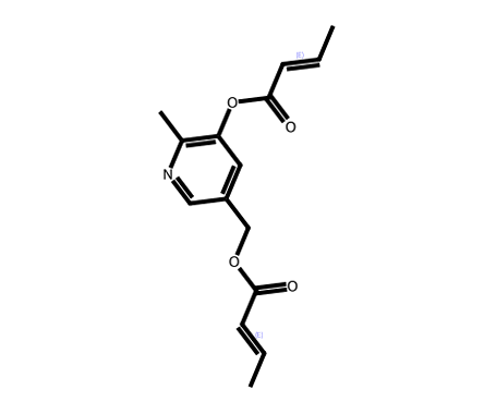 C/C=C/C(=O)OCc1cnc(C)c(OC(=O)/C=C/C)c1